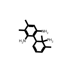 CC1=CC=CC(c2c(N)cc(C)c(C)c2N)C1(C)P